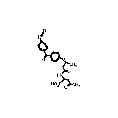 CC(CC(=O)NC(CC(N)=O)C(=O)O)Oc1ccc(C(=O)c2ccc(N=C=O)cc2)cc1